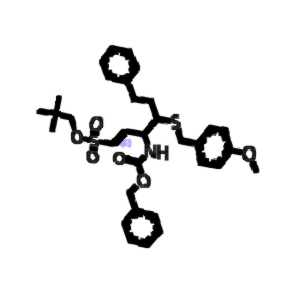 COc1ccc(CSC(CCc2ccccc2)C(/C=C/S(=O)(=O)OCC(C)(C)C)NC(=O)OCc2ccccc2)cc1